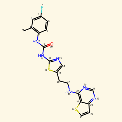 Cc1cc(F)ccc1NC(=O)Nc1ncc(CCNc2ncnc3ccsc23)s1